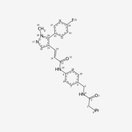 CC(C)CC(=O)NCc1ccc(NC(=O)C=Cc2cnn(C)c2-c2ccc(F)cc2)cc1